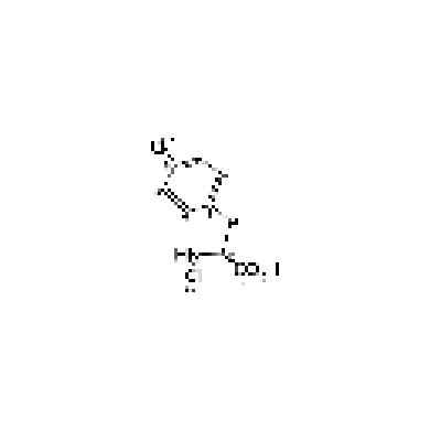 O=C(O)[C@H](Cc1ccc(Cl)cc1)NCl